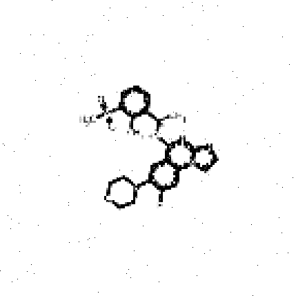 Cc1c([C@@H](C)Nc2nc3nccn3c3cc(F)c(N4CCOCC4)cc23)cccc1S(C)(=O)=O